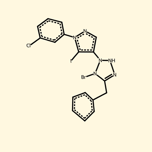 Clc1cccc(-n2ncc(N3NN=C(Cc4ccccc4)N3Br)c2I)c1